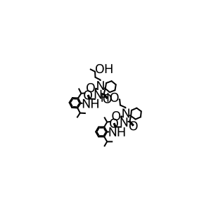 CC(C)c1cccc(C(C)C)c1NC(=O)CN1C(=O)N(CCCO)C2(CCCCC2)C1=O.CC(O)CCN1C(=O)N(CC(=O)Nc2c(C(C)C)cccc2C(C)C)C(=O)C12CCCCC2